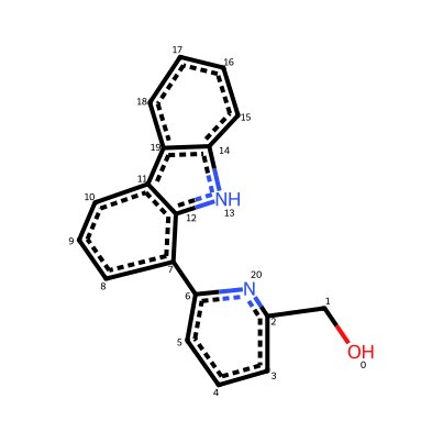 OCc1cccc(-c2cccc3c2[nH]c2ccccc23)n1